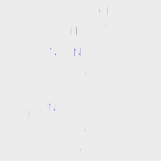 COC[C@H](Cc1ccccc1)n1c(C)nc2ccc(N(C)CCC3OCCO3)cc2c1=O